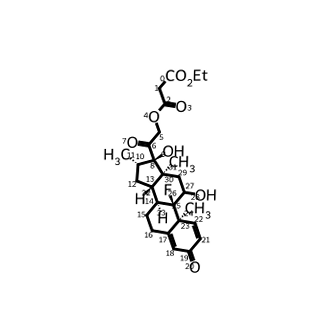 CCOC(=O)CC(=O)OCC(=O)[C@@]1(O)[C@@H](C)C[C@H]2[C@@H]3CCC4=CC(=O)C=C[C@]4(C)[C@@]3(F)C(O)C[C@@]21C